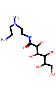 CN(CCN)CCNC(=O)C(O)C(O)C(O)C(O)CO